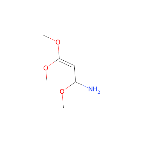 COC(=CC(N)OC)OC